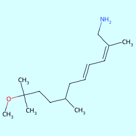 COC(C)(C)CCC(C)CC=CC=C(C)CN